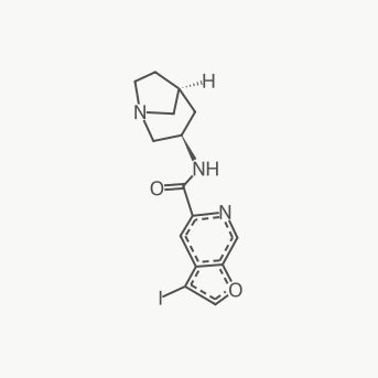 O=C(N[C@@H]1C[C@@H]2CCN(C2)C1)c1cc2c(I)coc2cn1